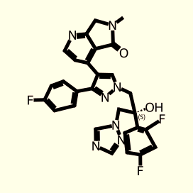 CN1Cc2nccc(-c3cn(C[C@](O)(Cn4cncn4)c4ccc(F)cc4F)nc3-c3ccc(F)cc3)c2C1=O